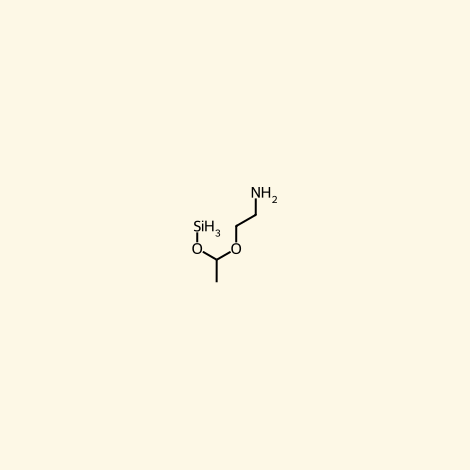 CC(O[SiH3])OCCN